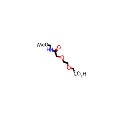 COCNC(=O)COCCOCC(=O)O